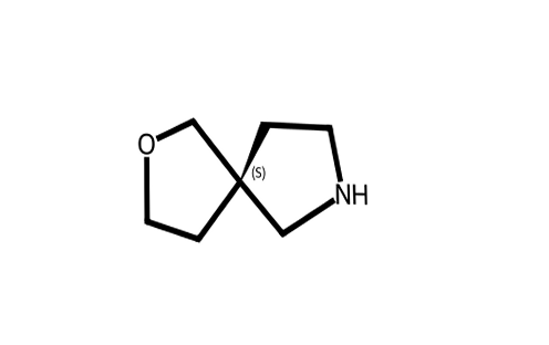 C1C[C@]2(CCOC2)CN1